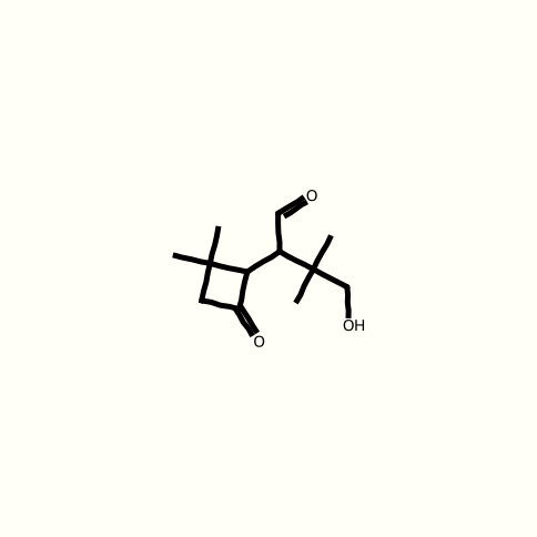 CC(C)(CO)C(C=O)C1C(=O)CC1(C)C